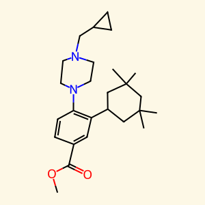 COC(=O)c1ccc(N2CCN(CC3CC3)CC2)c(C2CC(C)(C)CC(C)(C)C2)c1